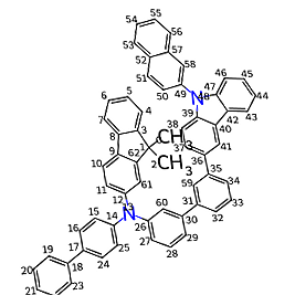 CC1(C)c2ccccc2-c2ccc(N(c3ccc(-c4ccccc4)cc3)c3cccc(-c4cccc(-c5ccc6c(c5)c5ccccc5n6-c5ccc6ccccc6c5)c4)c3)cc21